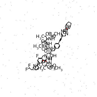 COC(=O)N[C@H](C(=O)N[C@H](C(=O)N[C@@H](Cc1ccc(C#Cc2cnc(N3CC4CCC(C3)N4C3COC3)nc2)cc1)[C@@H](O)CN(Cc1c(F)cc(-c2ccn(CC(F)F)n2)cc1F)NC(=O)[C@@H](NC(=O)OC)C(C)(C)C)C(C)(C)C)C(C)C